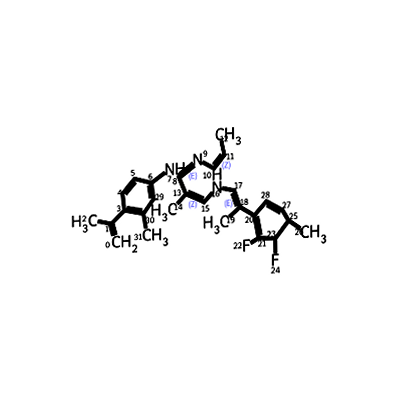 C=C(C)c1ccc(NC(=N/C=C\C)/C(C)=C\N/C=C(\C)C2=C(F)C(F)C(C)C=C2)cc1C